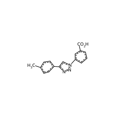 Cc1ccc(-c2cn(-c3cccc(C(=O)O)c3)nn2)cc1